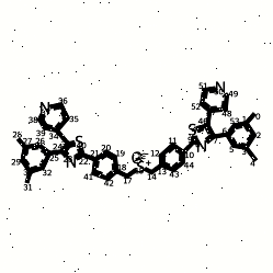 Cc1cc(C)cc(-c2nc(-c3ccc(C[S+]([O-])Cc4ccc(-c5nc(-c6cc(C)cc(C)c6)c(-c6ccncc6)s5)cc4)cc3)sc2-c2ccncc2)c1